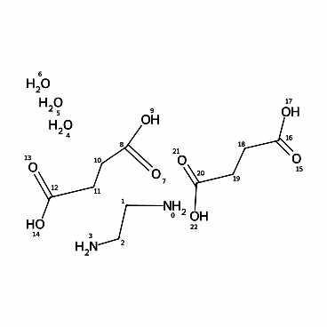 NCCN.O.O.O.O=C(O)CCC(=O)O.O=C(O)CCC(=O)O